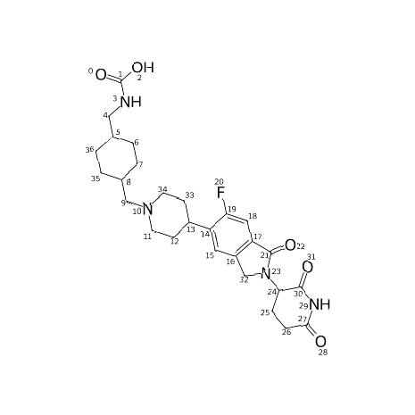 O=C(O)NCC1CCC(CN2CCC(c3cc4c(cc3F)C(=O)N(C3CCC(=O)NC3=O)C4)CC2)CC1